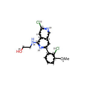 COc1cccc(-c2cc3cnc(Cl)cc3c(NCCO)n2)c1Cl